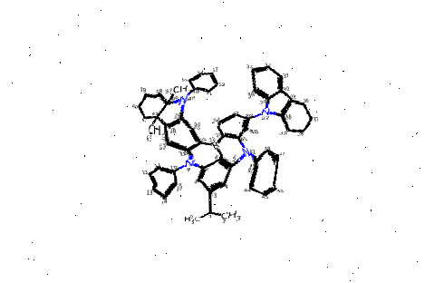 CC(C)c1cc2c3c(c1)N(c1ccccc1)c1cc4c(cc1B3c1ccc(-n3c5c(c6ccccc63)CCCC5)cc1N2c1ccccc1)N(c1ccccc1)C1(C)CCCCC41C